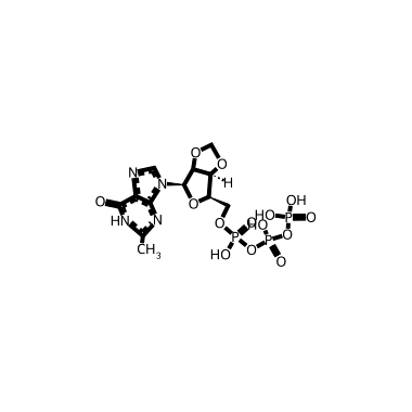 Cc1nc2c(ncn2[C@@H]2O[C@H](COP(=O)(O)OP(=O)(O)OP(=O)(O)O)[C@@H]3OCOC32)c(=O)[nH]1